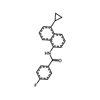 O=C(Nc1[c]ccc2c(C3CC3)cccc12)c1ccc(F)cc1